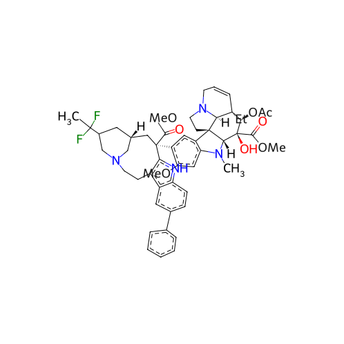 CC[C@]12C=CCN3CC[C@@]4(c5cc([C@@]6(C(=O)OC)C[C@H]7CC(C(C)(F)F)CN(CCc8c6[nH]c6ccc(-c9ccccc9)cc86)C7)c(OC)cc5N(C)[C@H]4[C@@](O)(C(=O)OC)[C@@H]1OC(C)=O)[C@@H]32